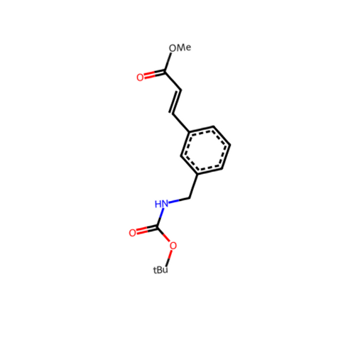 COC(=O)C=Cc1cccc(CNC(=O)OC(C)(C)C)c1